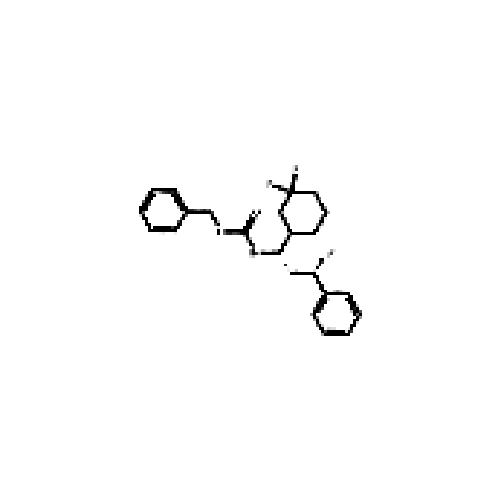 CCC[C@H](C[C@H](NC(=O)OCc1ccccc1)C1CCCC(F)(F)C1)c1ccccc1